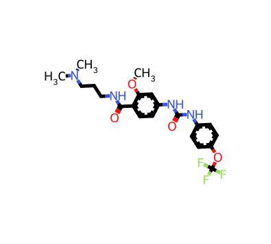 COc1cc(NC(=O)Nc2ccc(OC(F)(F)F)cc2)ccc1C(=O)NCCCN(C)C